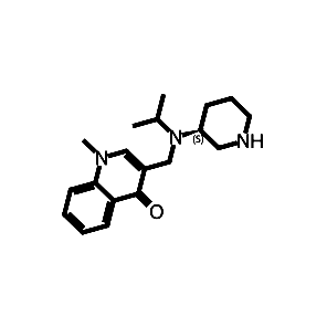 CC(C)N(Cc1cn(C)c2ccccc2c1=O)[C@H]1CCCNC1